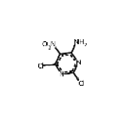 Nc1nc(Cl)nc(Cl)c1[N+](=O)[O-]